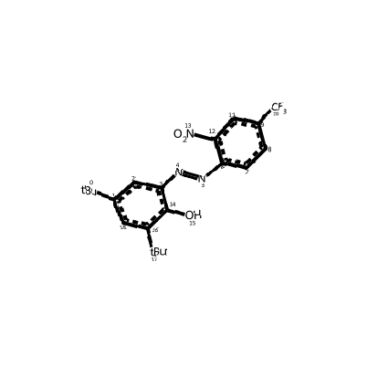 CC(C)(C)c1cc(N=Nc2ccc(C(F)(F)F)cc2[N+](=O)[O-])c(O)c(C(C)(C)C)c1